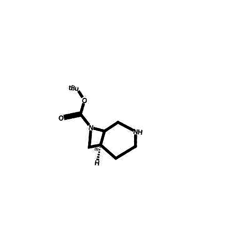 CC(C)(C)OC(=O)N1C[C@@H]2CCNCC21